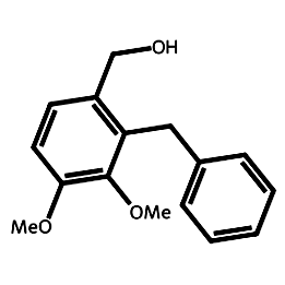 COc1ccc(CO)c(Cc2ccccc2)c1OC